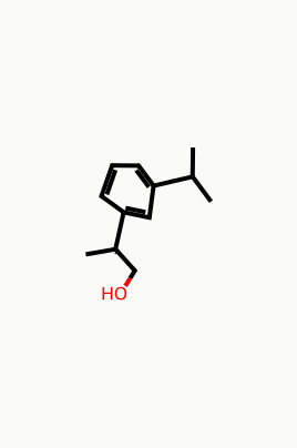 C[C](CO)c1cccc(C(C)C)c1